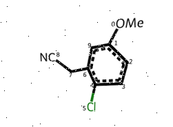 COc1ccc(Cl)c(CC#N)c1